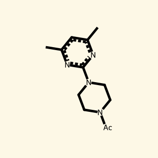 CC(=O)N1CCN(c2nc(C)cc(C)n2)CC1